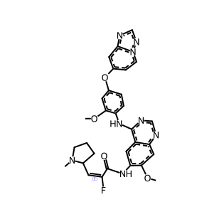 COc1cc2ncnc(Nc3ccc(Oc4ccn5ncnc5c4)cc3OC)c2cc1NC(=O)/C(F)=C\C1CCCN1C